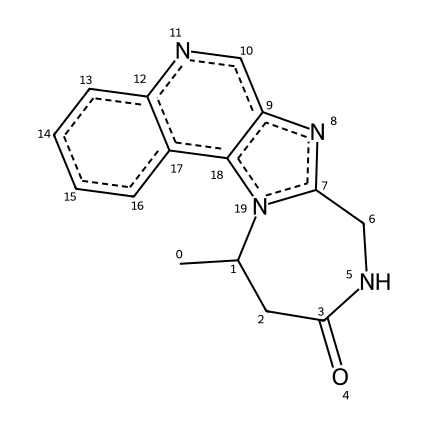 CC1CC(=O)NCc2nc3cnc4ccccc4c3n21